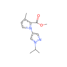 COC(=O)c1c(C)ccn1-c1cnn(C(C)C)c1